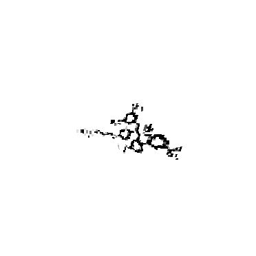 Cc1cc(CN(Cc2cc(C)ccc2-c2cc(C(N)=O)ccc2C)c2ncc(OCCCC(=O)O)cn2)cc(C(F)(F)F)c1